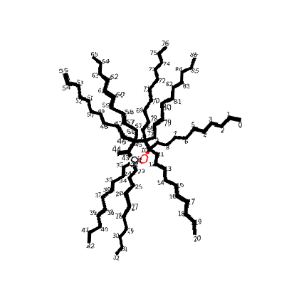 CCCCCCCCCCC1(CCCCCCCCCC)O[Si](CCCCCCCCCC)(CCCCCCCCCC)C(C)C(CCCCCCCCCC)(CCCCCCCCCC)C1(CCCCCCCCCC)CCCCCCCCCC